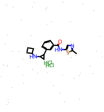 Cc1ncc(NC(=O)c2cccc(C3CC3NC3CCC3)c2)s1.Cl.Cl